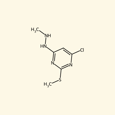 CNNc1cc(Cl)nc(SC)n1